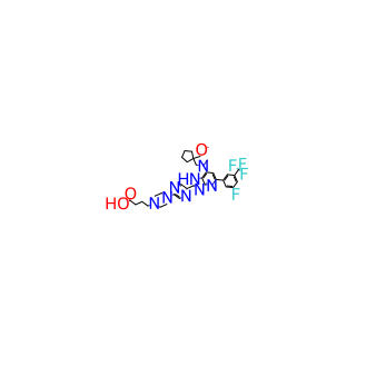 COCC1(CN(C)c2cc(-c3cc(F)cc(C(F)(F)F)c3)nc3nc(-c4cnc(N5CCN(CCCC(=O)O)CC5)cn4)[nH]c23)CCCC1